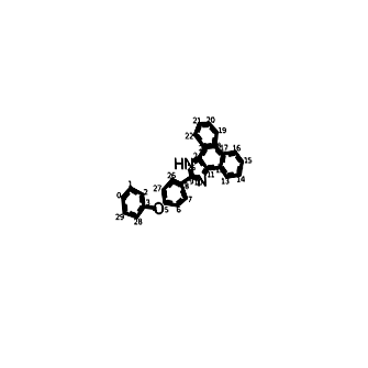 c1ccc(Oc2ccc(-c3nc4c5ccccc5c5ccccc5c4[nH]3)cc2)cc1